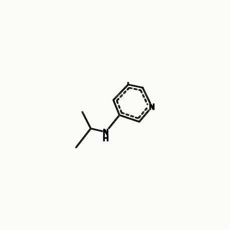 CC(C)Nc1c[c]cnc1